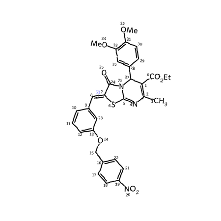 CCOC(=O)C1=C(C)N=c2s/c(=C\c3cccc(OCc4ccc([N+](=O)[O-])cc4)c3)c(=O)n2C1c1ccc(OC)c(OC)c1